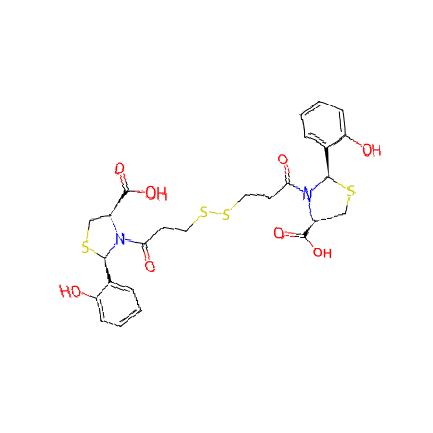 O=C(O)[C@@H]1CS[C@H](c2ccccc2O)N1C(=O)CCSSCCC(=O)N1[C@@H](c2ccccc2O)SC[C@H]1C(=O)O